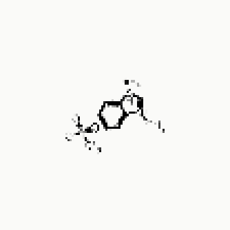 C[N+]1=C[SH](C(F)(F)F)c2ccccc21.O=S(=O)([O-])C(F)(F)F